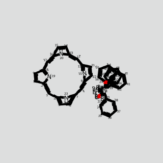 C1=Cc2cc3ccc(cc4nc(cc5ccc(cc1n2)[nH]5)C=C4)[nH]3.[Br][Ni]([Br])([Br])([Br])([Br])([Br])([Br])([Br])([c]1ccccc1)([c]1ccccc1)([c]1ccccc1)[c]1ccccc1